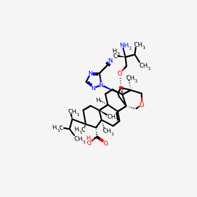 CC(C)[C@@H](C)[C@@]1(C)CC[C@]2(C)[C@H]3CC[C@@H]4[C@@]5(COC[C@]4(C)[C@@H](OC[C@](C)(N)C(C)C)[C@H](n4ncnc4C#N)C5)C3=CC[C@@]2(C)[C@@H]1C(=O)O